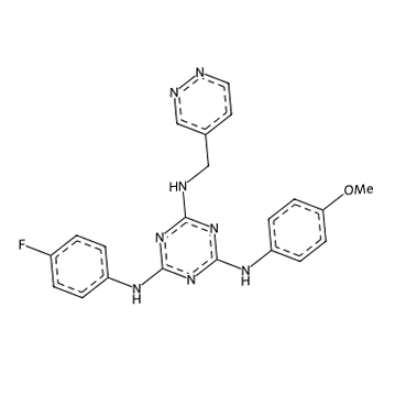 COc1ccc(Nc2nc(NCc3ccnnc3)nc(Nc3ccc(F)cc3)n2)cc1